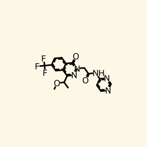 COC(C)c1nn(CC(=O)Nc2ccncn2)c(=O)c2ccc(C(F)(F)F)cc12